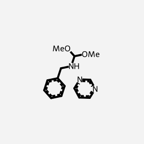 COC(NCc1ccccc1)OC.c1cncnc1